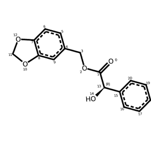 O=C(OCc1ccc2c(c1)OCO2)[C@H](O)c1ccccc1